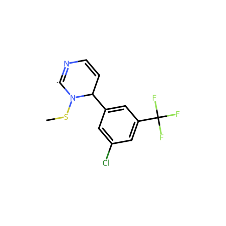 CSN1[C]=NC=CC1c1cc(Cl)cc(C(F)(F)F)c1